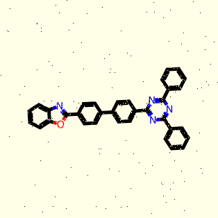 c1ccc(-c2nc(-c3ccccc3)nc(-c3ccc(-c4ccc(-c5nc6ccccc6o5)cc4)cc3)n2)cc1